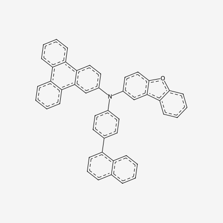 c1ccc2c(-c3ccc(N(c4ccc5oc6ccccc6c5c4)c4ccc5c6ccccc6c6ccccc6c5c4)cc3)cccc2c1